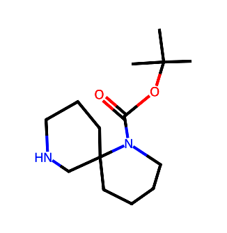 CC(C)(C)OC(=O)N1CCCCC12CCCNC2